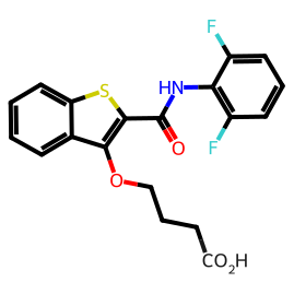 O=C(O)CCCOc1c(C(=O)Nc2c(F)cccc2F)sc2ccccc12